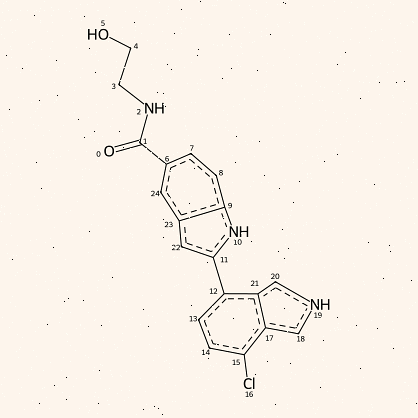 O=C(NCCO)c1ccc2[nH]c(-c3ccc(Cl)c4c[nH]cc34)cc2c1